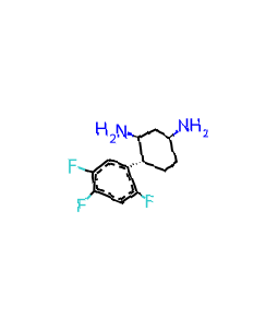 N[C@H]1CC[C@H](c2cc(F)c(F)cc2F)[C@@H](N)C1